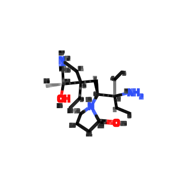 CCC(N)(CC)[C@H](CC(CC)(CC)[C@@](C)(O)C#N)N1CCCC1=O